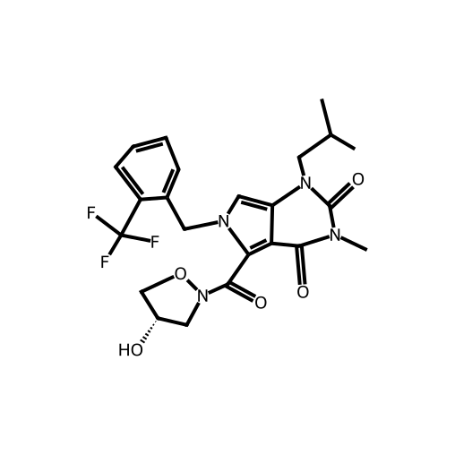 CC(C)Cn1c(=O)n(C)c(=O)c2c(C(=O)N3C[C@H](O)CO3)n(Cc3ccccc3C(F)(F)F)cc21